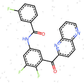 O=C(Nc1cc(F)c(F)c(C(=O)c2ccc3ncccc3n2)c1)c1cccc(F)c1